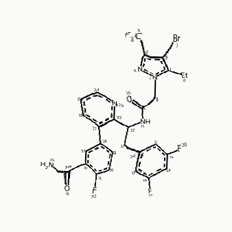 CCc1c(Br)c(C(F)(F)F)nn1CC(=O)NC(Cc1cc(F)cc(F)c1)c1ncccc1-c1ccc(F)c(C(N)=O)c1